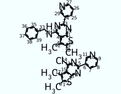 Cc1sc2nc(-c3cccnc3)nc(Cl)c2c1C.Cc1sc2nc(-c3cccnc3)nc(NCc3ccccc3)c2c1C